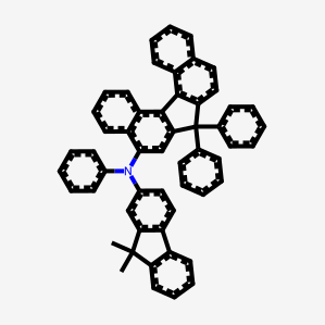 CC1(C)c2ccccc2-c2ccc(N(c3ccccc3)c3cc4c(c5ccccc35)-c3c(ccc5ccccc35)C4(c3ccccc3)c3ccccc3)cc21